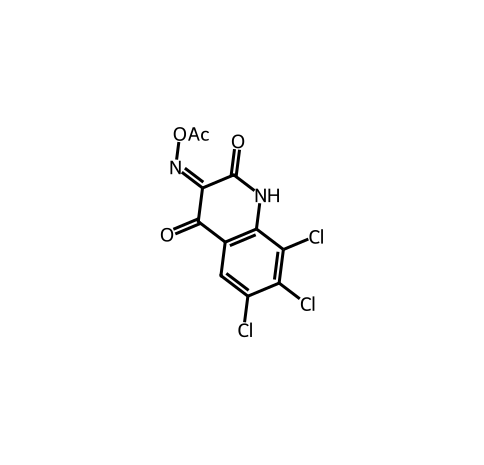 CC(=O)ON=C1C(=O)Nc2c(cc(Cl)c(Cl)c2Cl)C1=O